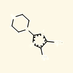 COc1nc(N2CCOCC2)sc1C